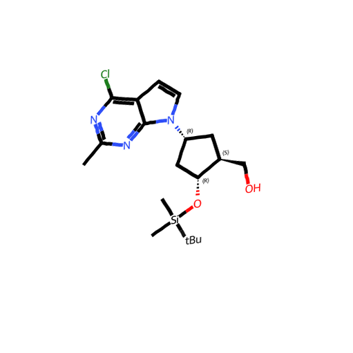 Cc1nc(Cl)c2ccn([C@@H]3C[C@@H](CO)[C@H](O[Si](C)(C)C(C)(C)C)C3)c2n1